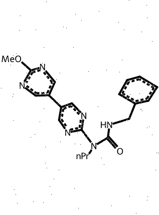 CCCN(C(=O)NCc1ccccc1)c1ncc(-c2cnc(OC)nc2)cn1